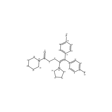 O=C(CCC(=C(c1ccc(F)cc1)c1ccc(F)cc1)N1CCCC1)N1CCCCC1